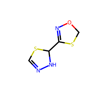 C1=NNC(C2=NOCS2)S1